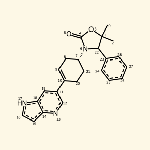 CC1(C)OC(=O)N([C@H]2CC=C(c3cnc4cc[nH]c4c3)CC2)C1c1ccccc1